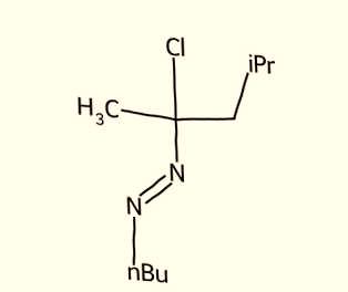 CCCC/N=N/C(C)(Cl)CC(C)C